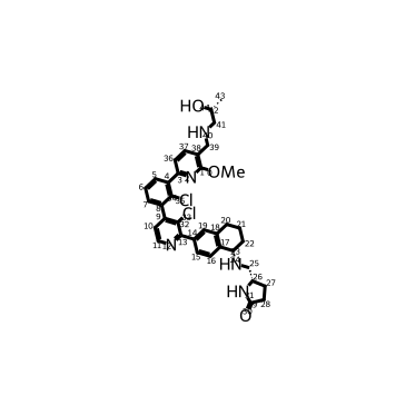 COc1nc(-c2cccc(-c3ccnc(-c4ccc5c(c4)CCC[C@@H]5NC[C@@H]4CCC(=O)N4)c3Cl)c2Cl)ccc1CNC[C@@H](C)O